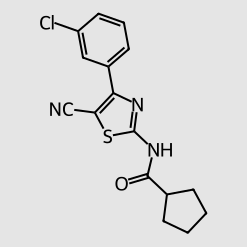 N#Cc1sc(NC(=O)C2CCCC2)nc1-c1cccc(Cl)c1